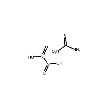 NC(=S)[N+](=O)[O-].O=S(O)S(=O)O